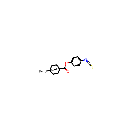 CCCCCC12CCC(C(=O)Oc3ccc(N=C=S)cc3)(CC1)CC2